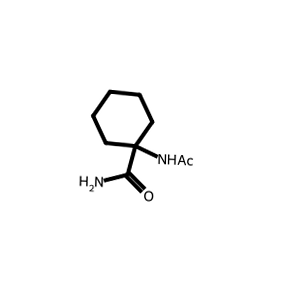 CC(=O)NC1(C(N)=O)CCCCC1